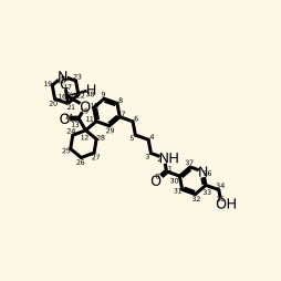 O=C(NCCCCc1cccc(C2(C(=O)O[C@H]3CN4CCC3CC4)CCCCC2)c1)c1ccc(CO)nc1